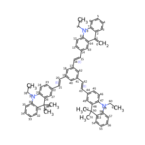 C=C1c2ccccc2N(CC)c2ccc(/C=C/c3cc(/C=C/c4ccc5c(c4)C(C)(C)c4ccccc4N5CC)cc(/C=C/c4ccc5c(c4)C(C)(C)c4ccccc4N5CC)c3)cc21